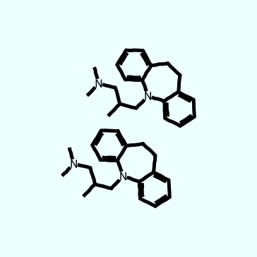 CC(CN(C)C)CN1c2ccccc2CCc2ccccc21.CC(CN(C)C)CN1c2ccccc2CCc2ccccc21